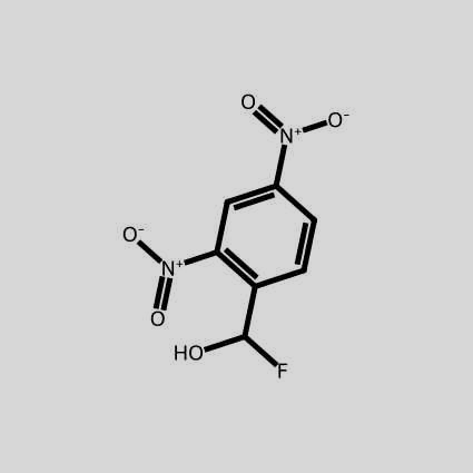 O=[N+]([O-])c1ccc(C(O)F)c([N+](=O)[O-])c1